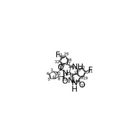 O=C1C2C3C=CC(C3)C2C(=O)N1C1c2n[nH]c(=O)c3cc(F)cc(c23)NC1c1ccc(F)cc1